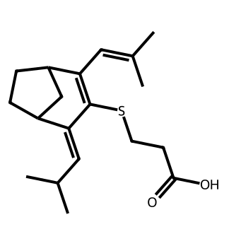 CC(C)=CC1=C(SCCC(=O)O)/C(=C/C(C)C)C2CCC1C2